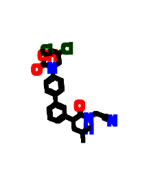 CC(C)CC(C(=O)NCC#N)c1cccc(-c2ccc(N(CC(Cl)Cl)C(=O)O)cc2)c1